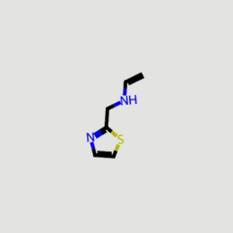 C=CNCc1nccs1